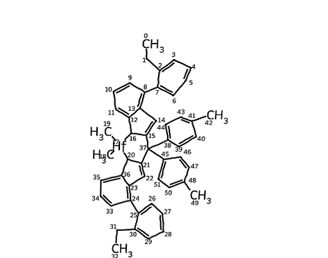 CCc1ccccc1-c1cccc2c1C=C1[CH]2[Hf]([CH3])([CH3])[CH]2C(=Cc3c(-c4ccccc4CC)cccc32)C1(c1ccc(C)cc1)c1ccc(C)cc1